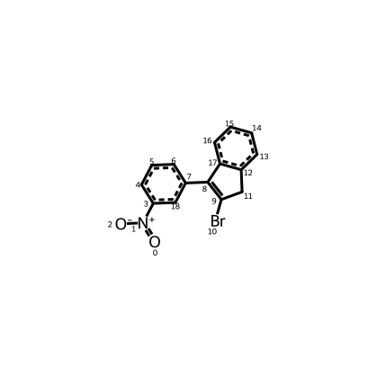 O=[N+]([O-])c1cccc(C2=C(Br)Cc3ccccc32)c1